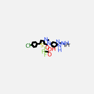 CC(C)Nc1nc2cc(-n3cnc4cc(-c5ccc(Cl)cc5)sc4c3=O)ccc2[nH]1.O=C(O)C(F)(F)F